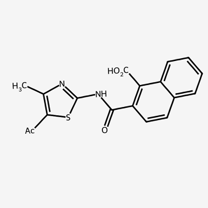 CC(=O)c1sc(NC(=O)c2ccc3ccccc3c2C(=O)O)nc1C